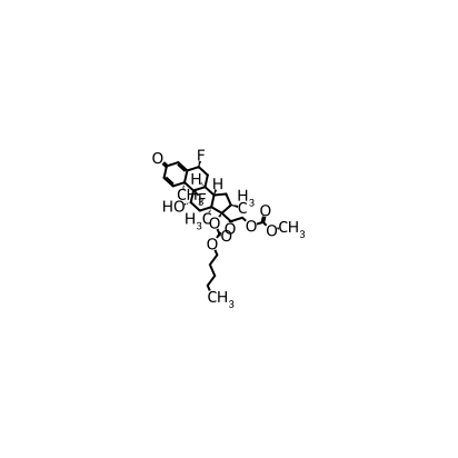 CCCCCOC(=O)O[C@]1(C(=O)COC(=O)OC)[C@H](C)C[C@H]2[C@@H]3C[C@H](F)C4=CC(=O)C=C[C@]4(C)[C@@]3(F)[C@@H](O)C[C@@]21C